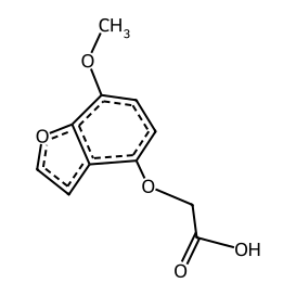 COc1ccc(OCC(=O)O)c2ccoc12